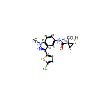 CC(C)n1nc(-c2ccc(Cl)s2)c2cc(NC(=O)C3(C(=O)O)CC3)ccc21